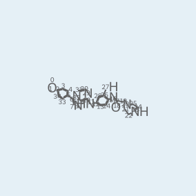 COc1ccc(-c2cnc3c(Nc4ccc(NC(=O)CN5CCNCC5)c(C)c4)nccn23)cc1